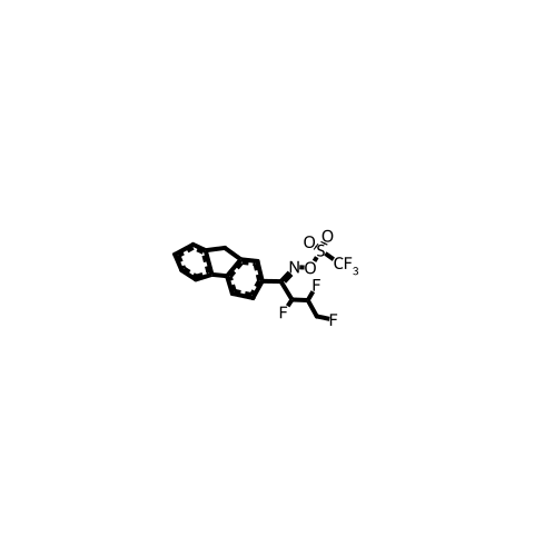 O=S(=O)(ON=C(c1ccc2c(c1)Cc1ccccc1-2)C(F)C(F)CF)C(F)(F)F